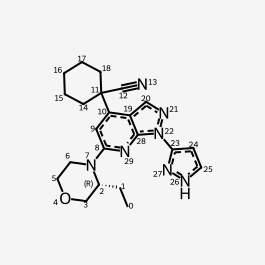 CC[C@@H]1COCCN1c1cc(C2(C#N)CCCCC2)c2cnn(-c3cc[nH]n3)c2n1